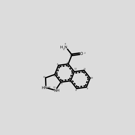 NC(=O)c1cc2c(c3ccccc13)NNC2